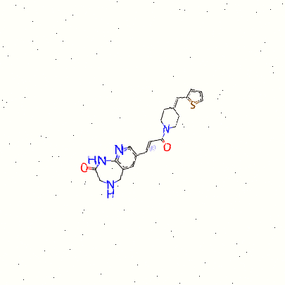 O=C1CNCc2cc(/C=C/C(=O)N3CCC(=Cc4cccs4)CC3)cnc2N1